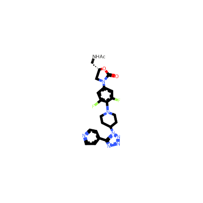 CC(=O)NC[C@H]1CN(c2cc(F)c(N3CCC(n4nnnc4-c4ccncc4)CC3)c(F)c2)C(=O)O1